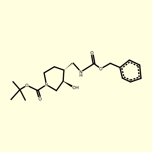 CC(C)(C)OC(=O)N1CC[C@H](CNC(=O)OCc2ccccc2)[C@@H](O)C1